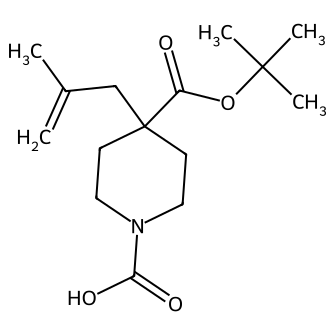 C=C(C)CC1(C(=O)OC(C)(C)C)CCN(C(=O)O)CC1